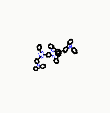 C1=Cc2c(c3ccccc3n2-c2cccc(-c3nc(-c4ccccc4)nc(-c4ccc(-n5c6ccccc6c6ccccc65)c(-n5c6ccccc6c6cc(-c7ccc8c(c7)c7ccccc7n8-c7ccccc7)ccc65)c4)n3)c2)CC1